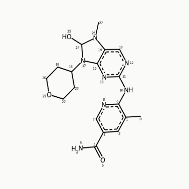 Cc1cc(C(N)=O)cnc1Nc1ncc2c(n1)N(C1CCOCC1)C(O)N2C